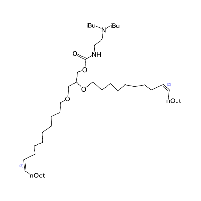 CCCCCCCC/C=C\CCCCCCCCOCC(COC(=O)NCCN(C(C)CC)C(C)CC)OCCCCCCCC/C=C\CCCCCCCC